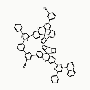 N#Cc1cccc(-c2ccc3c(c2)Oc2cc(-c4cc(-c5ccccc5)nc(-c5cccc(-c6cc(C#N)cc(-c7ccc8c(c7)Oc7cc(-c9nc(-c%10ccccc%10)cc(-c%10cccc%11ccccc%10%11)n9)ccc7C87c8ccccc8-c8ccccc87)c6)c5)n4)ccc2C32c3ccccc3-c3ccccc32)c1